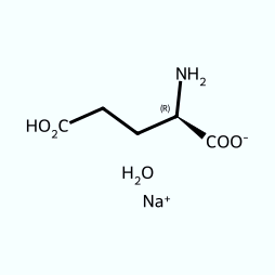 N[C@H](CCC(=O)O)C(=O)[O-].O.[Na+]